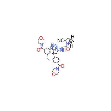 N#CC1C[C@@H]2C[C@@H]2N1C(=O)CNCCC1(c2nnn[nH]2)c2ccc(C(=O)N3CCOCC3)cc2CCc2cc(C(=O)N3CCOCC3)ccc21